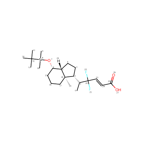 CC([C@H]1CC[C@H]2[C@@H](O[Si](C)(C)C(C)(C)C)CCC[C@]12C)C(F)(F)/C=C/C(=O)O